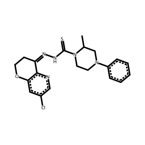 CC1CN(c2ccccc2)CCN1C(=S)N/N=C1/CCOc2cc(Cl)cnc21